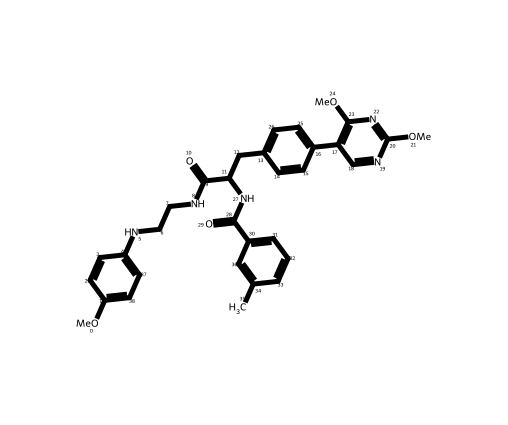 COc1ccc(NCCNC(=O)C(Cc2ccc(-c3cnc(OC)nc3OC)cc2)NC(=O)c2cccc(C)c2)cc1